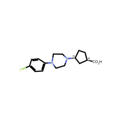 O=C(O)[C@@H]1CC[C@H](N2CCN(c3ccc(F)cc3)CC2)C1